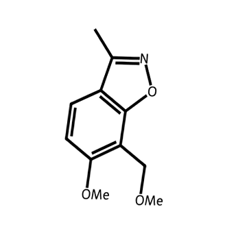 COCc1c(OC)ccc2c(C)noc12